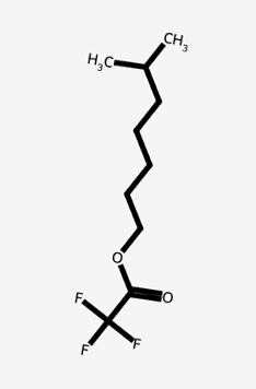 CC(C)CCCCCOC(=O)C(F)(F)F